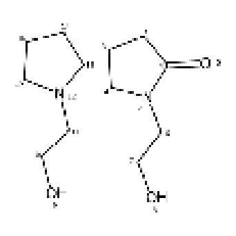 O=C1CCCN1CCO.OCCN1CCCC1